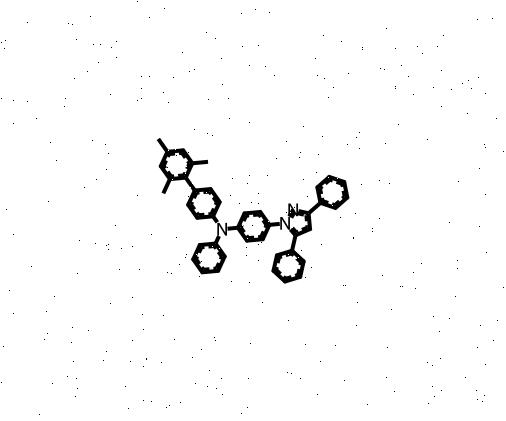 Cc1cc(C)c(-c2ccc(N(c3ccccc3)c3ccc(-n4nc(-c5ccccc5)cc4-c4ccccc4)cc3)cc2)c(C)c1